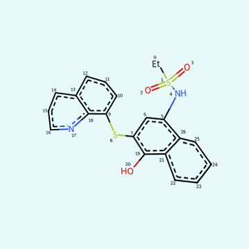 CCS(=O)(=O)Nc1cc(Sc2cccc3cccnc23)c(O)c2ccccc12